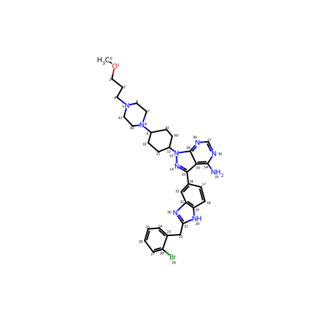 COCCCN1CCN(C2CCC(n3nc(-c4ccc5[nH]c(Cc6ccccc6Br)nc5c4)c4c(N)ncnc43)CC2)CC1